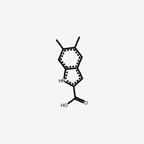 Cc1cc2cc(C(=O)O)[nH]c2cc1C